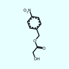 O=C(CO)OCc1ccc([N+](=O)[O-])cc1